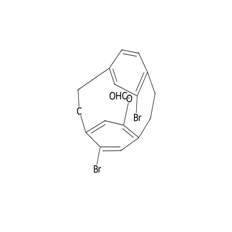 O=COc1cc2c(Br)cc1CCc1ccc(cc1Br)CC2